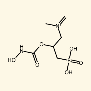 C=[N+](C)CC(CP(=O)(O)O)OC(=O)NO